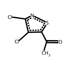 CC(=O)c1snc(Cl)c1Cl